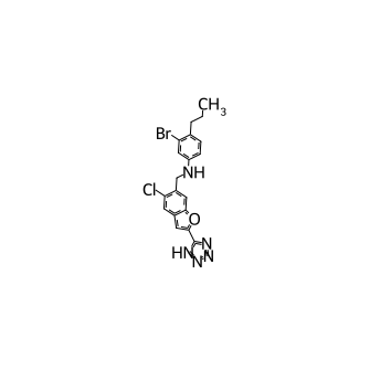 CCCc1ccc(NCc2cc3oc(-c4nnn[nH]4)cc3cc2Cl)cc1Br